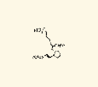 CCCCCC/C=C/C1CCC[C@@H]1C/C(=C/CCCC(=O)O)OC